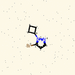 Brc1ccnn1C1CCC1